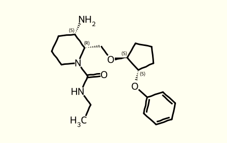 CCNC(=O)N1CCC[C@H](N)[C@@H]1CO[C@H]1CCC[C@@H]1Oc1ccccc1